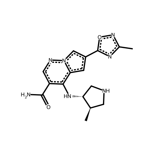 Cc1noc(-c2cc3c(N[C@@H]4CNC[C@H]4C)c(C(N)=O)cnn3c2)n1